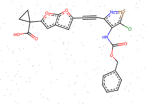 O=C(Nc1c(C#Cc2cc3cc(C4(C(=O)O)CC4)oc3o2)nsc1Cl)OCc1ccccc1